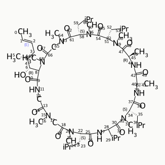 C/C=C/C[C@@H](C)[C@@H](O)C1C(=O)NCC(=O)N(C)CC(=O)N(C)[C@@H](CC(C)C)C(=O)NC(C(C)C)C(=O)N(C)[C@@H](CC(C)C)C(=O)N[C@@H](C)C(=O)N[C@H](C)C(=O)N(C)[C@@H](CC(C)C)C(=O)N(C)[C@@H](CC(C)C)C(=O)N(C)CC(=O)N1C